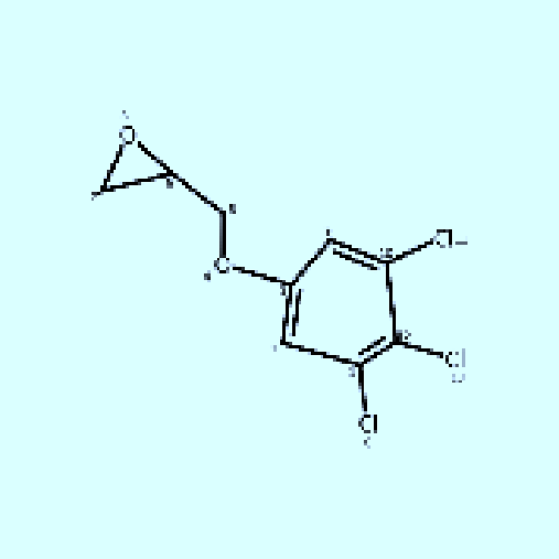 Clc1cc(OCC2CO2)cc(Cl)c1Cl